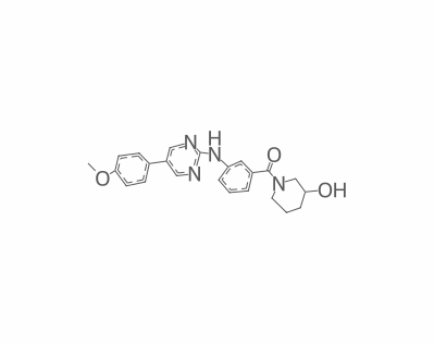 COc1ccc(-c2cnc(Nc3cccc(C(=O)N4CCCC(O)C4)c3)nc2)cc1